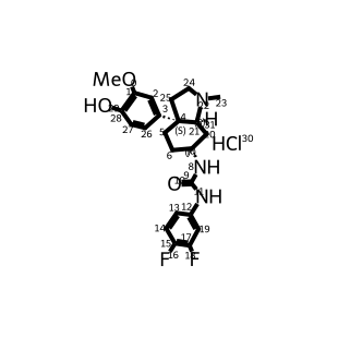 COc1cc([C@@]23CC[C@@H](NC(=O)Nc4ccc(F)c(F)c4)C[C@@H]2N(C)CC3)ccc1O.Cl